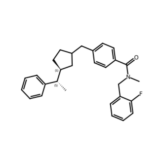 C[C@H](c1ccccc1)[C@H]1CCC(Cc2ccc(C(=O)N(C)Cc3ccccc3F)cc2)C1